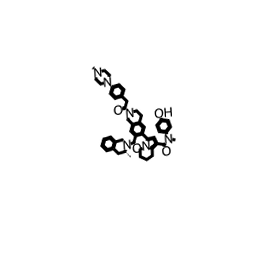 C[C@@H]1Cc2ccccc2CN1C(=O)c1cc2c(cc1-c1cc(C(=O)N(C)c3ccc(O)cc3)c3n1CCCC3)CCN(C(=O)Cc1ccc(N3CCN(C)CC3)cc1)C2